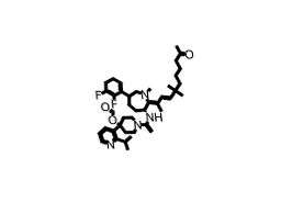 C=C(N[C@@H]1CCC(C2=CCCC(F)=C2F)CN(C)/C1=C(C)\C=C\C(C)(C)CCCCC(C)=O)N1CCC(OC=O)(c2cccnc2C(C)C)CC1